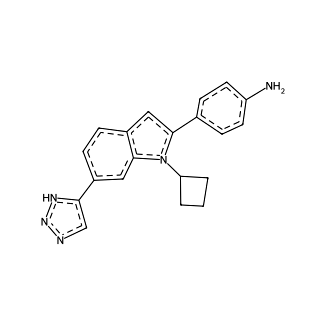 Nc1ccc(-c2cc3ccc(-c4cnn[nH]4)cc3n2C2CCC2)cc1